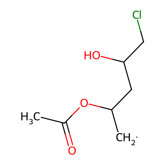 [CH2]C(CC(O)CCl)OC(C)=O